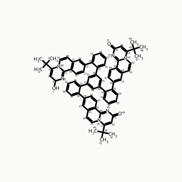 CC(C)(C)C1=CC(O)N=C2c3ccc(-c4ccccc4-c4cc(-c5ccccc5-c5ccc6c(ccn7c(C(C)(C)C)cc(=O)nc67)c5)cc(-c5ccccc5-c5ccc6c(ccn7c(C(C)(C)C)cc(=O)nc67)c5)c4)cc3C=CN12